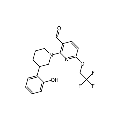 O=Cc1ccc(OCC(F)(F)F)nc1N1CCCC(c2ccccc2O)C1